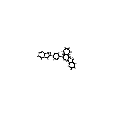 C1=CC2NC(c3ccc(-c4cc5c6ccccc6oc5c5ccccc45)cc3)=CN2C=C1